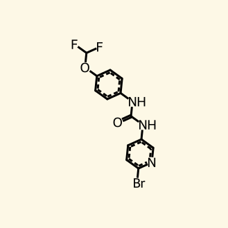 O=C(Nc1ccc(OC(F)F)cc1)Nc1ccc(Br)nc1